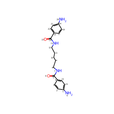 Nc1ccc(C(=O)NCCCCCNC(=O)c2ccc(N)cc2)cc1